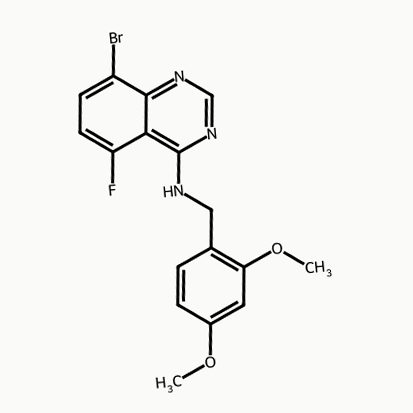 COc1ccc(CNc2ncnc3c(Br)ccc(F)c23)c(OC)c1